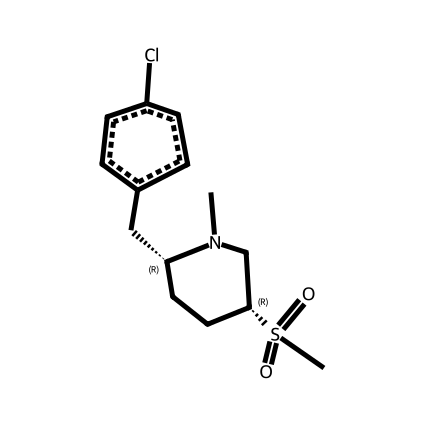 CN1C[C@H](S(C)(=O)=O)CC[C@@H]1Cc1ccc(Cl)cc1